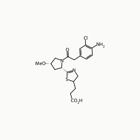 CO[C@H]1C[C@@H](C2=NCC(CCC(=O)O)S2)N(C(=O)Cc2ccc(N)c(Cl)c2)C1